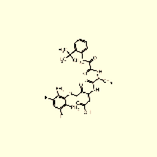 CC(NC(=O)C(=O)Nc1ccccc1C(C)(C)C)C(=O)NC(CC(=O)O)C(=O)COc1c(P)c(F)cc(F)c1P